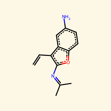 C=Cc1c(N=C(C)C)oc2ccc(N)cc12